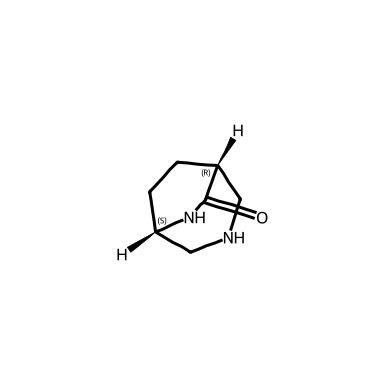 O=C1N[C@H]2CC[C@@H]1CNC2